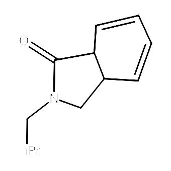 CC(C)CN1CC2C=CC=CC2C1=O